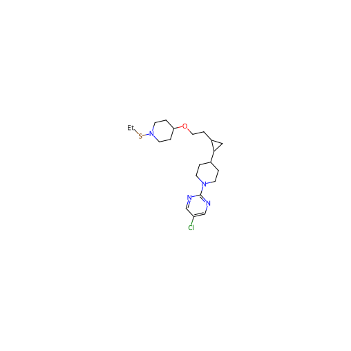 CCSN1CCC(OCCC2CC2C2CCN(c3ncc(Cl)cn3)CC2)CC1